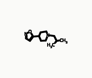 CC(C)CN1CCC(c2ccno2)CC1